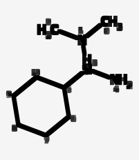 CN(C)[SiH](N)C1CCCCC1